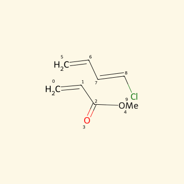 C=CC(=O)OC.C=CC=CCl